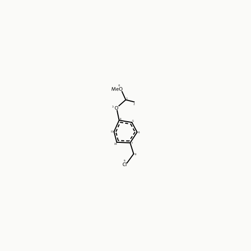 COC(C)Oc1ccc(CCl)cc1